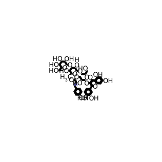 CC1OC(OCC(CO)OC(Oc2c(-c3ccc(O)c(O)c3)oc3cc(O)cc(O)c3c2=O)C(O)COC(=O)/C=C/c2ccc(O)cc2)C(O)C(OC2OC(CO)C(O)C(O)C2O)C1O